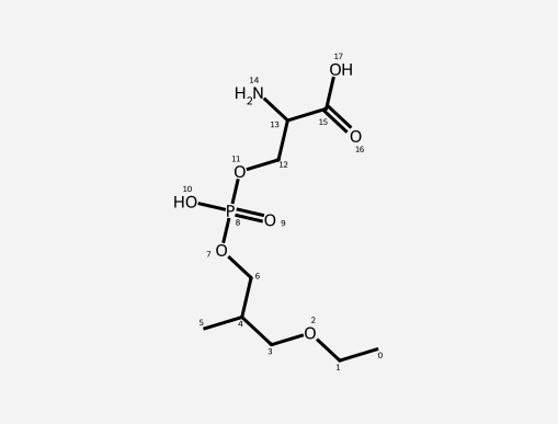 CCOCC(C)COP(=O)(O)OCC(N)C(=O)O